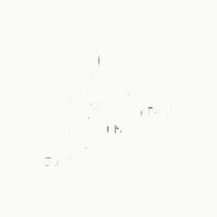 CCCCCc1ccc(C2(C(=O)Oc3ccc(CC(C)CC)cc3C#N)CCCCC2)cc1